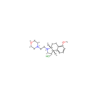 COc1cccc2c1CC[C@@H]1[C@H]2CCN1CCN1CCOCC1.Cl